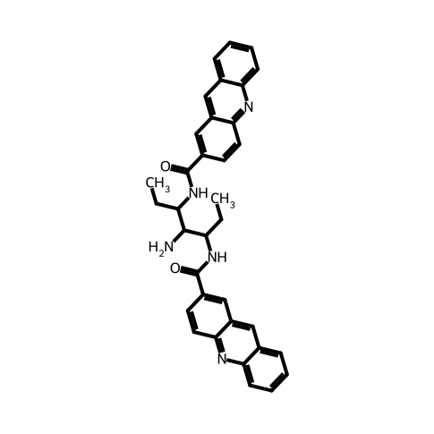 CCC(NC(=O)c1ccc2nc3ccccc3cc2c1)C(N)C(CC)NC(=O)c1ccc2nc3ccccc3cc2c1